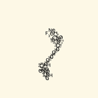 CC1(C)C(=O)N(c2ccc(C#N)c(C(F)(F)F)c2)C(c2cccs2)N1c1ccc(OCCOCCOCCOCCNc2cccc3c2C(=O)N([C@@H]2CCC(=O)NC2=O)C3=O)cc1